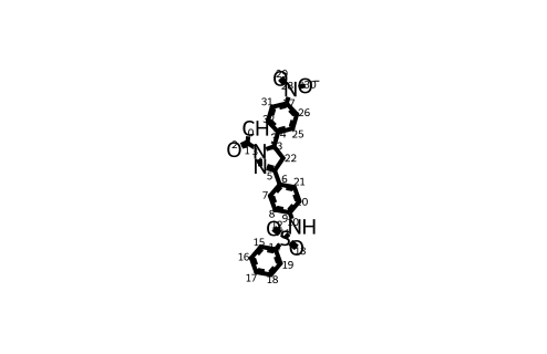 CC(=O)N1N=C(c2ccc(NS(=O)(=O)c3ccccc3)cc2)CC1c1ccc([N+](=O)[O-])cc1